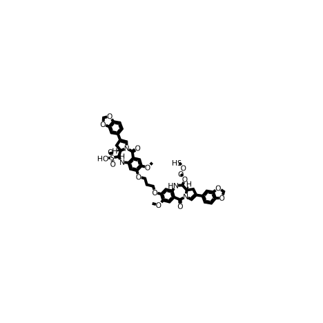 COc1cc2c(cc1OCCCOc1cc3c(cc1OC)C(=O)N1C=C(c4ccc5c(c4)OCO5)C[C@H]1C(S(=O)(=O)O)N3)NC(OOOS)[C@@H]1CC(c3ccc4c(c3)OCO4)=CN1C2=O